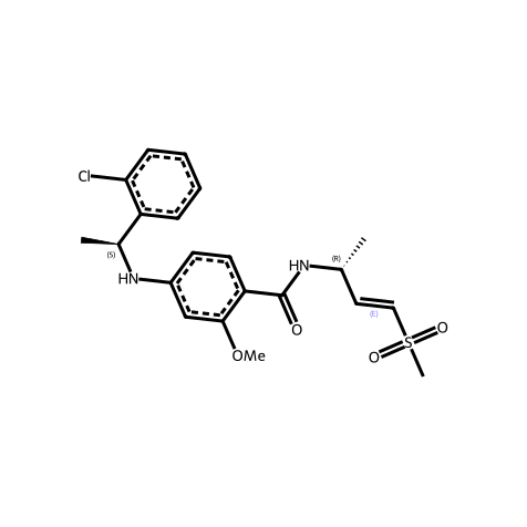 COc1cc(N[C@@H](C)c2ccccc2Cl)ccc1C(=O)N[C@H](C)/C=C/S(C)(=O)=O